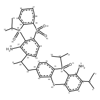 CC(C)c1ccc2c(c1N)P(=O)(C(C)C)c1ccc(CC(C)c3ccc4c(c3N)P(=O)(C(C)C)c3ccccc3S4(=O)=O)cc1S2